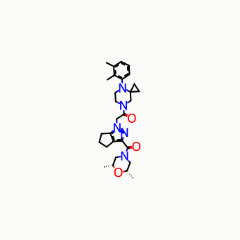 Cc1cccc(N2CCN(C(=O)Cn3nc(C(=O)N4C[C@@H](C)O[C@@H](C)C4)c4c3CCC4)CC23CC3)c1C